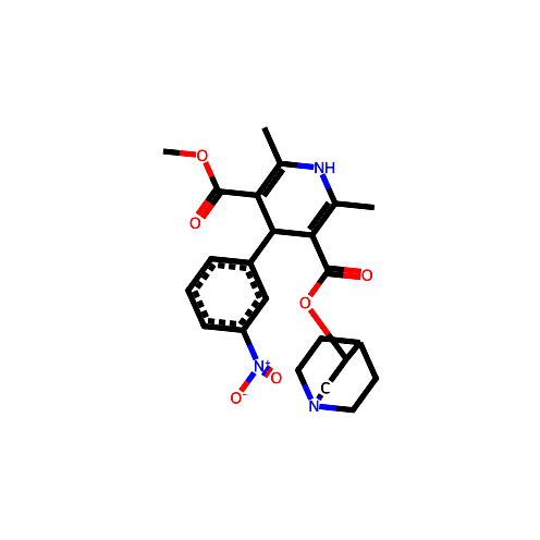 COC(=O)C1=C(C)NC(C)=C(C(=O)OC2CN3CCC2CC3)C1c1cccc([N+](=O)[O-])c1